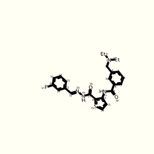 CCN(CC)Cc1cccc(C(=O)Nc2ccsc2C(=O)NN=Cc2cccc(F)c2)c1